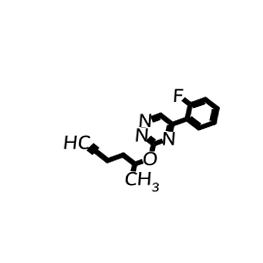 C#CCCC(C)Oc1nncc(-c2ccccc2F)n1